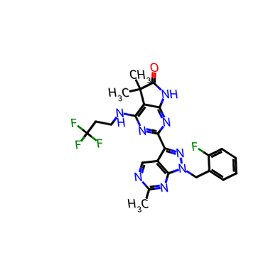 Cc1ncc2c(-c3nc(NCCC(F)(F)F)c4c(n3)NC(=O)C4(C)C)nn(Cc3ccccc3F)c2n1